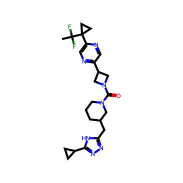 CC(F)(F)C1(c2cnc(C3CN(C(=O)N4CCCC(Cc5nnc(C6CC6)[nH]5)C4)C3)cn2)CC1